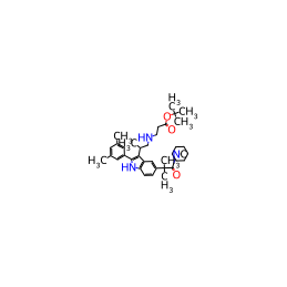 Cc1cc(C)cc(-c2[nH]c3ccc(C(C)(C)C(=O)N4CC5CCC4CC5)cc3c2C(C)CNCCC(=O)OC(C)(C)C)c1